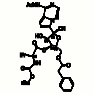 CC(=O)Nc1ncnn2c([C@]3(C#N)O[C@H](COC(=O)Cc4ccccc4)[C@@H](OC(=O)[C@@H](NC(=O)OC(C)(C)C)C(C)C)[C@H]3O)ccc12